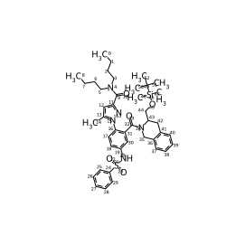 CCCCN(CCCC)C(=O)c1cc(C)n(-c2ccc(NS(=O)(=O)c3ccccc3)cc2C(=O)N2Cc3ccccc3CC2CO[Si](C)(C)C(C)(C)C)n1